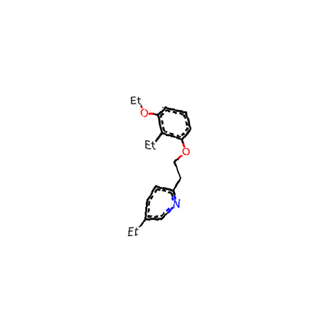 CCOc1[c]ccc(OCCc2ccc(CC)cn2)c1CC